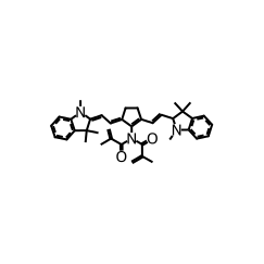 C=C(C)C(=O)N(C(=O)C(=C)C)C1=C(/C=C/C2N(C)c3ccccc3C2(C)C)CC/C1=C\C=C1\N(C)c2ccccc2C1(C)C